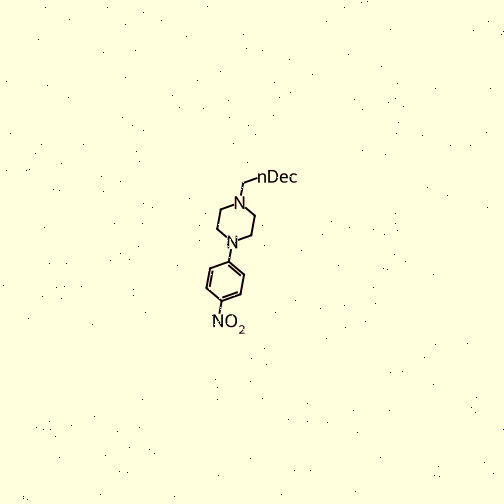 [CH2]CCCCCCCCCCN1CCN(c2ccc([N+](=O)[O-])cc2)CC1